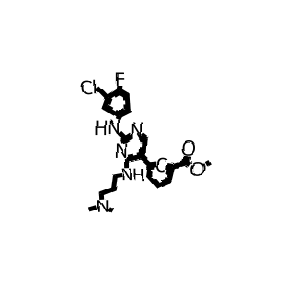 COC(=O)c1cccc(-c2cnc(Nc3ccc(F)c(Cl)c3)nc2NCCCN(C)C)c1